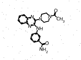 CC(=O)N1CCN(c2nc3ccccc3nc2Nc2cccc(C(N)=O)c2)CC1